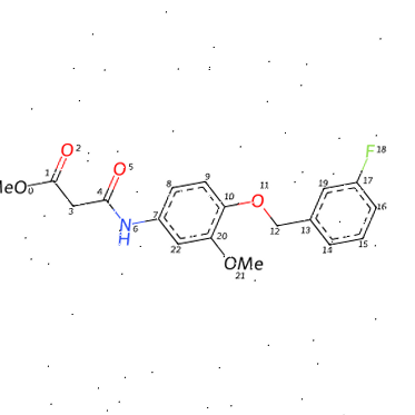 COC(=O)CC(=O)Nc1ccc(OCc2cccc(F)c2)c(OC)c1